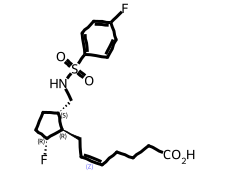 O=C(O)CCC/C=C\C[C@@H]1[C@@H](CNS(=O)(=O)c2ccc(F)cc2)CC[C@H]1F